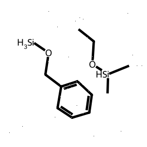 CCO[SiH](C)C.[SiH3]OCc1ccccc1